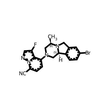 C[C@@H]1CN(c2ccc(C#N)n3ncc(F)c23)C[C@@H]2c3ccc(Br)cc3CN12